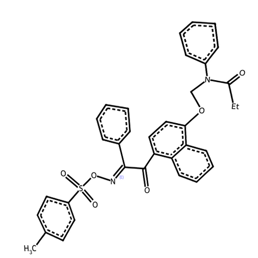 CCC(=O)N(COc1ccc(C(=O)/C(=N/OS(=O)(=O)c2ccc(C)cc2)c2ccccc2)c2ccccc12)c1ccccc1